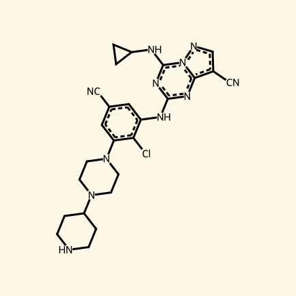 N#Cc1cc(Nc2nc(NC3CC3)n3ncc(C#N)c3n2)c(Cl)c(N2CCN(C3CCNCC3)CC2)c1